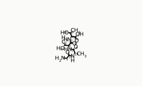 C[C@H](NC(=O)CN)C(=O)N[C@H](C(=O)N[C@H](C(=O)O)[C@@H](C)O)[C@@H](C)O